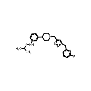 CC(C)SNc1cccc(C2CCN(Cc3cn(Cc4cccc(F)n4)nn3)CC2)c1